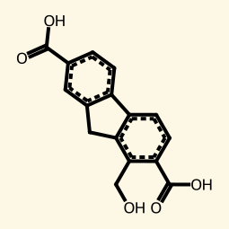 O=C(O)c1ccc2c(c1)Cc1c-2ccc(C(=O)O)c1CO